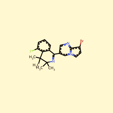 CC1(C)N=C(c2cnc3c(Br)ccn3c2)c2cccc(F)c2C1(C)C